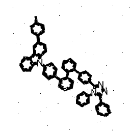 Cc1ccc(-c2ccc3c(c2)c2ccccc2n3-c2ccc(-c3ccccc3-c3ccccc3-c3ccc(-c4nnc(-c5ccccc5)n4-c4ccccc4)cc3)cc2)cc1